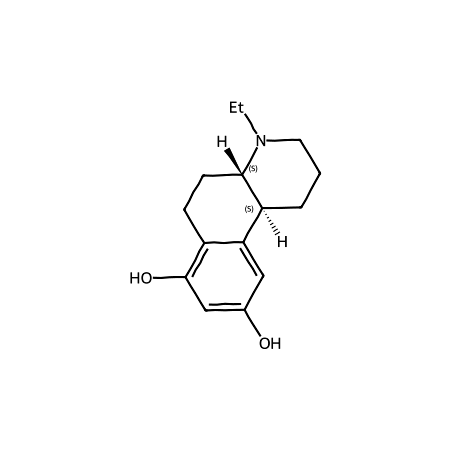 CCN1CCC[C@H]2c3cc(O)cc(O)c3CC[C@@H]21